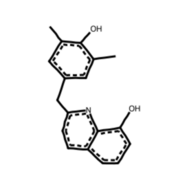 Cc1cc(Cc2ccc3cccc(O)c3n2)cc(C)c1O